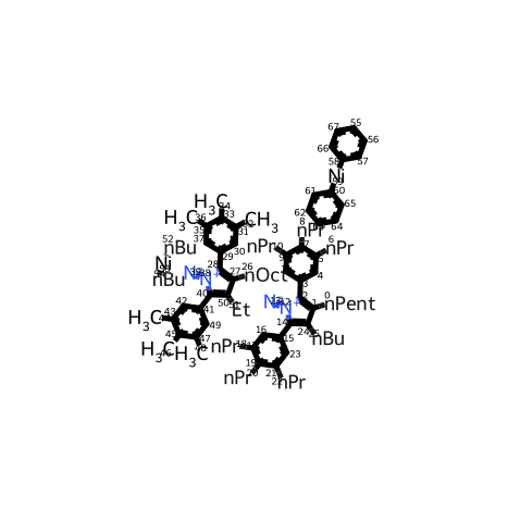 CCCCCC1=C(c2cc(CCC)c(CCC)c(CCC)c2)[N+](=[N-])C(c2cc(CCC)c(CCC)c(CCC)c2)=C1CCCC.CCCCCCCCC1=C(c2cc(C)c(C)c(C)c2)[N+](=[N-])C(c2cc(C)c(C)c(C)c2)=C1CC.CCC[CH2][Ni][CH2]CCC.c1cc[c]([Ni][c]2ccccc2)cc1